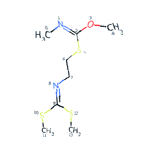 C/N=C(/OC)SCCN=C(SC)SC